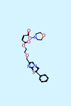 O=C(/C=C\C(=O)ON1CCOCC1)OCCOCc1cn2cc(-c3ccccc3)sc2n1